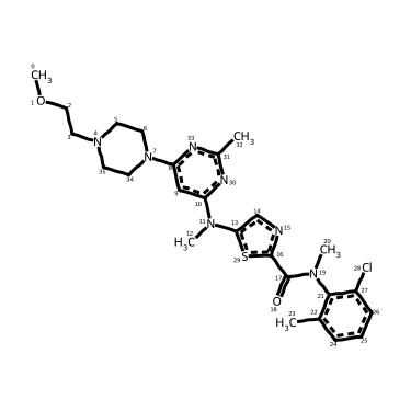 COCCN1CCN(c2cc(N(C)c3cnc(C(=O)N(C)c4c(C)cccc4Cl)s3)nc(C)n2)CC1